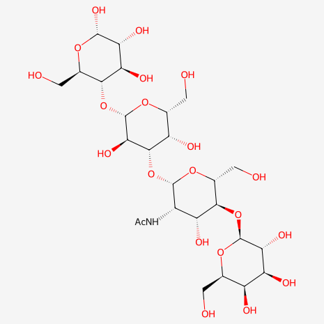 CC(=O)N[C@@H]1[C@H](O[C@H]2[C@@H](O)[C@@H](CO)O[C@@H](O[C@H]3[C@H](O)[C@@H](O)[C@@H](O)O[C@@H]3CO)[C@@H]2O)O[C@H](CO)[C@@H](O[C@@H]2O[C@H](CO)[C@H](O)[C@H](O)[C@H]2O)[C@@H]1O